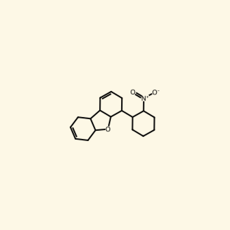 O=[N+]([O-])C1CCCCC1C1CC=CC2C3CC=CCC3OC21